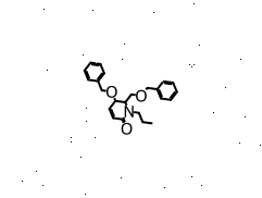 CCCN1C(=O)C=CC(OCc2ccccc2)C1COCc1ccccc1